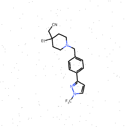 CCC1(CC#N)CCN(Cc2ccc(-c3ccn(C(F)(F)F)n3)cc2)CC1